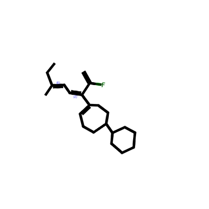 C=C(F)/C(=C\C=C(/C)CC)C1=CCCC(C2CCCCC2)CC1